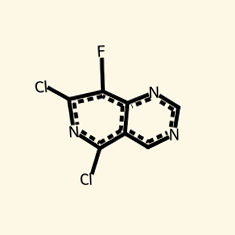 Fc1c(Cl)nc(Cl)c2cncnc12